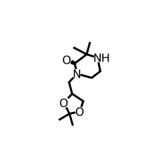 CC1(C)OCC(CN2CCNC(C)(C)C2=O)O1